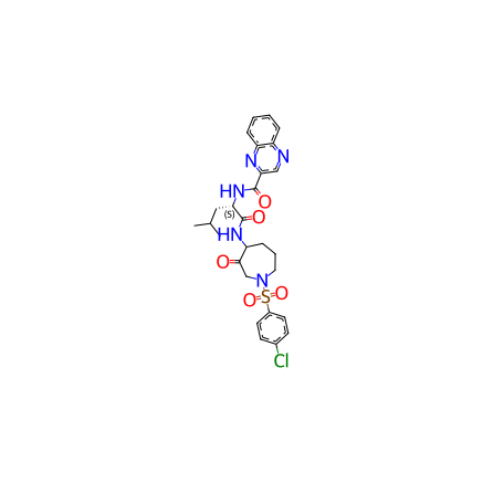 CC(C)C[C@H](NC(=O)c1cnc2ccccc2n1)C(=O)NC1CCCN(S(=O)(=O)c2ccc(Cl)cc2)CC1=O